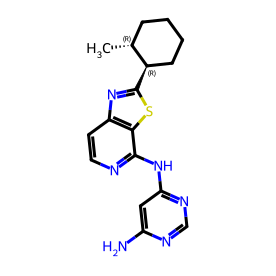 C[C@@H]1CCCC[C@H]1c1nc2ccnc(Nc3cc(N)ncn3)c2s1